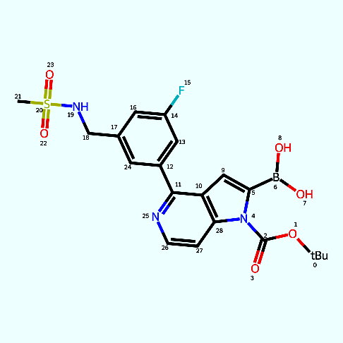 CC(C)(C)OC(=O)n1c(B(O)O)cc2c(-c3cc(F)cc(CNS(C)(=O)=O)c3)nccc21